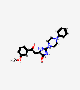 COc1cccc(C(=O)CC2NC(N3CCN(c4ccccc4)CC3)=NC2=O)c1